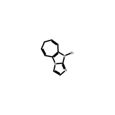 CCn1c2c(n3ccnc13)C=CCC=C2